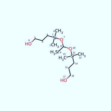 C[Si](C)(CCCO)OC([SiH2])O[Si](C)(C)CCCO